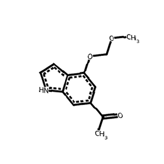 COCOc1cc(C(C)=O)cc2[nH]ccc12